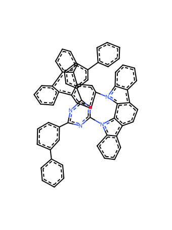 c1ccc(-c2cccc(-c3nc(-c4cccc(-c5ccccc5)c4)nc(-n4c5ccccc5c5ccc6c7ccccc7n(-c7ccc8c9ccccc9c9ccccc9c8c7)c6c54)n3)c2)cc1